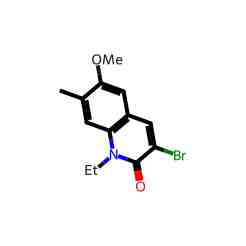 CCn1c(=O)c(Br)cc2cc(OC)c(C)cc21